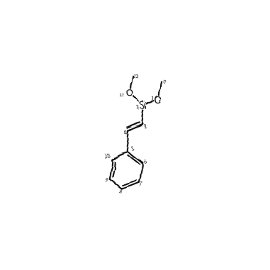 CO[Si](/C=C/c1ccccc1)OC